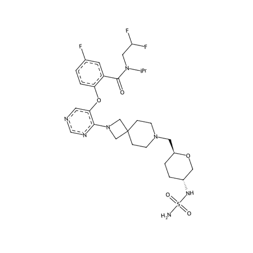 CC(C)N(CC(F)F)C(=O)c1cc(F)ccc1Oc1cncnc1N1CC2(CCN(C[C@@H]3CC[C@@H](NS(N)(=O)=O)CO3)CC2)C1